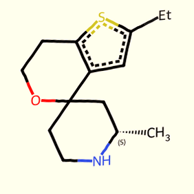 CCc1cc2c(s1)CCOC21CCN[C@@H](C)C1